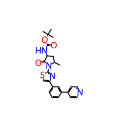 CC1CC(NC(=O)OC(C)(C)C)C(=O)N1c1nc(-c2cccc(-c3ccncc3)c2)cs1